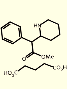 COC(=O)C(c1ccccc1)C1CCCCN1.O=C(O)CCCC(=O)O